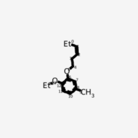 CC/C=C\CCOc1cc(C)ccc1OCC